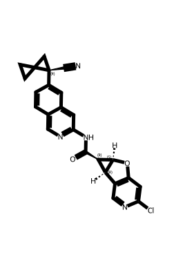 N#C[C@]1(c2ccc3cnc(NC(=O)[C@H]4[C@H]5Oc6cc(Cl)ncc6[C@H]54)cc3c2)CC12CC2